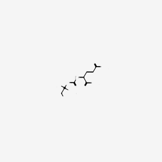 CCC(C)(C)OC(=O)NC(CCC(C)=O)C(C)=O